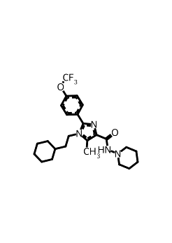 Cc1c(C(=O)NN2CCCCC2)nc(-c2ccc(OC(F)(F)F)cc2)n1CCC1CCCCC1